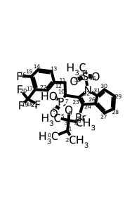 CC(C)C(C)(C)OP(=O)(O)C(Cc1ccc(F)c(C(F)(F)F)c1)c1c(Br)c2ccccc2n1S(C)(=O)=O